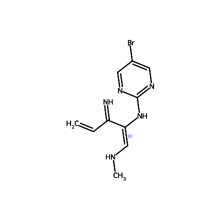 C=CC(=N)/C(=C\NC)Nc1ncc(Br)cn1